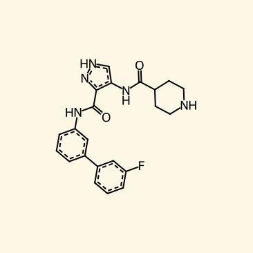 O=C(Nc1cccc(-c2cccc(F)c2)c1)c1n[nH]cc1NC(=O)C1CCNCC1